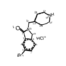 Cl.O=C1c2cc(Br)ccc2CN1CC1CCNCC1